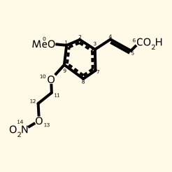 COc1cc(C=CC(=O)O)ccc1OCCO[N+](=O)[O-]